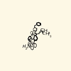 CN(C)CCc1c(N2CCC(Cc3ccccc3)CC2)n(C(=O)c2cccnc2)c2c(Cl)c(C(=O)NC(N)=O)ccc12